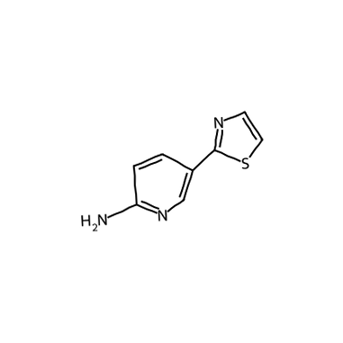 Nc1ccc(-c2nccs2)cn1